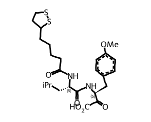 COc1ccc(C[C@H](NC(=O)[C@H](CC(C)C)NC(=O)CCCCC2CCSS2)C(=O)C(=O)O)cc1